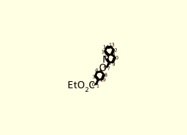 CCOC(=O)CC1=CCC(OCc2ccc3ccccc3n2)C=C1